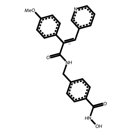 COc1ccc(/C(=C\c2cccnc2)C(=O)NCc2ccc(C(=O)NO)cc2)cc1